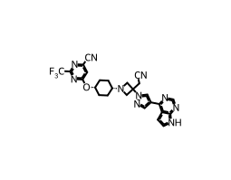 N#CCC1(n2cc(-c3ncnc4[nH]ccc34)cn2)CN([C@H]2CC[C@@H](Oc3cc(C#N)nc(C(F)(F)F)n3)CC2)C1